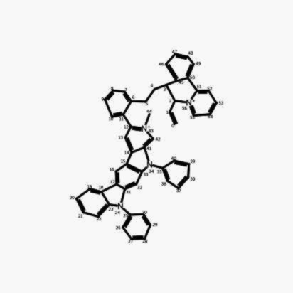 C=CC1C(CCc2ccccc2-c2cc3c4cc5c6ccccc6n(-c6ccccc6)c5cc4n(-c4ccccc4)c3c[n+]2C)c2ccccc2-c2cccc[n+]21